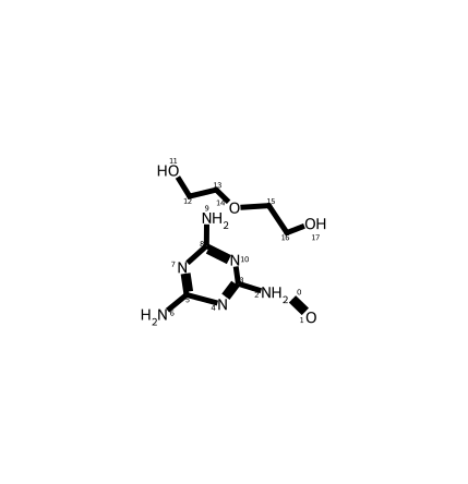 C=O.Nc1nc(N)nc(N)n1.OCCOCCO